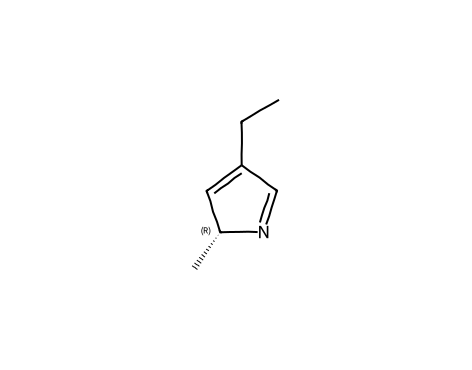 CCC1=C[C@@H](C)N=C1